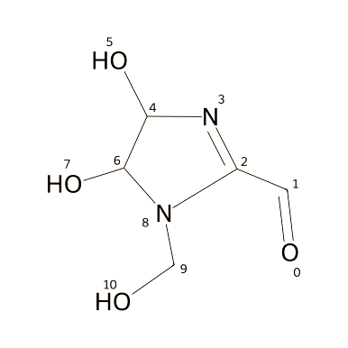 O=CC1=NC(O)C(O)N1CO